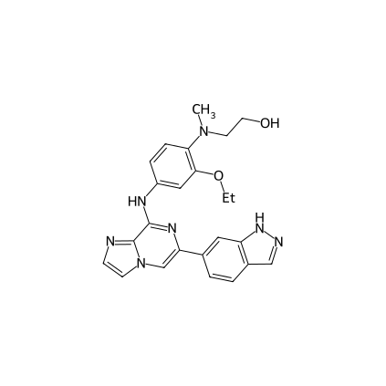 CCOc1cc(Nc2nc(-c3ccc4cn[nH]c4c3)cn3ccnc23)ccc1N(C)CCO